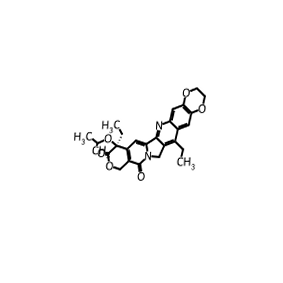 CCc1c2c(nc3cc4c(cc13)OCCO4)-c1cc3c(c(=O)n1C2)COC(=O)[C@@]3(CC)OC(C)C